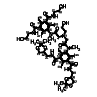 CN(C(=O)CN(CCO)CC(=O)N(C)c1c(I)c(C(=O)NCC2COC(C)(C)O2)c(I)c(C(=O)NCC2COC(C)(C)O2)c1I)c1c(I)c(C(=O)NCCO)c(I)c(C(=O)NCCO)c1I